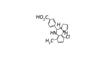 Cc1ccc(Cl)c2c1NC(c1ccc(C(=O)O)cc1)[C@H]1CC=C[C@@H]21